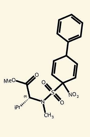 COC(=O)[C@@H](C(C)C)N(C)S(=O)(=O)C1([N+](=O)[O-])C=CC(c2ccccc2)C=C1